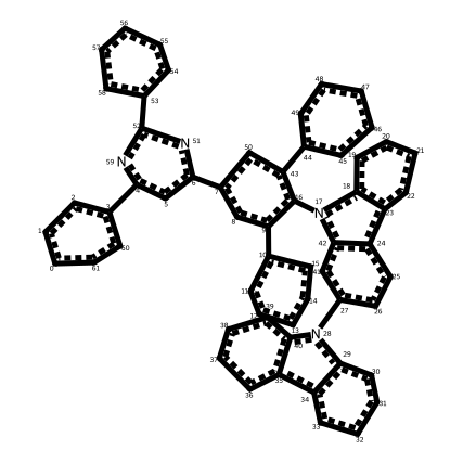 c1ccc(-c2cc(-c3cc(-c4ccccc4)c(-n4c5ccccc5c5ccc(-n6c7ccccc7c7ccccc76)cc54)c(-c4ccccc4)c3)nc(-c3ccccc3)n2)cc1